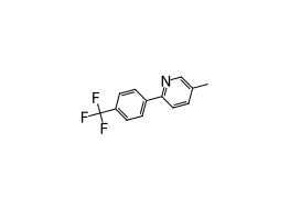 Cc1ccc(-c2ccc(C(F)(F)F)cc2)nc1